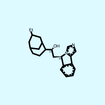 CCC1CC2CCC([C@@H](O)C[C@@H]3c4ccccc4-c4cncn43)C(C1)C2